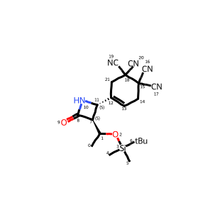 CC(O[Si](C)(C)C(C)(C)C)[C@H]1C(=O)N[C@@H]1C1=CCC(C#N)(C#N)C(C#N)(C#N)C1